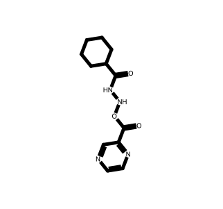 O=C(ONNC(=O)C1CCCCC1)c1cnccn1